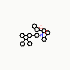 c1ccc(-c2ccccc2N(c2ccc(-c3ccc4c(c3)c(-c3ccccc3)c(-c3ccccc3)c3ccccc34)cc2)c2cccc3oc4c5ccccc5ccc4c23)cc1